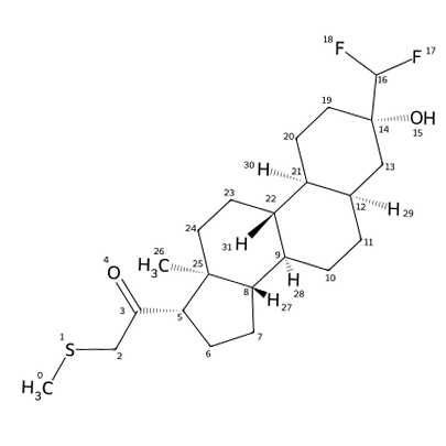 CSCC(=O)[C@H]1CC[C@H]2[C@@H]3CC[C@@H]4C[C@](O)(C(F)F)CC[C@@H]4[C@H]3CC[C@]12C